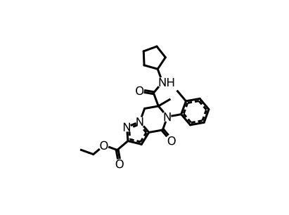 CCOC(=O)c1cc2n(n1)CC(C)(C(=O)NC1CCCC1)N(c1ccccc1C)C2=O